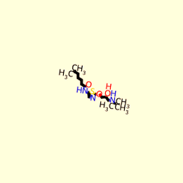 CC(C)CCCCC(=O)Nc1cnc(OCC(O)CNC(C)(C)C)s1